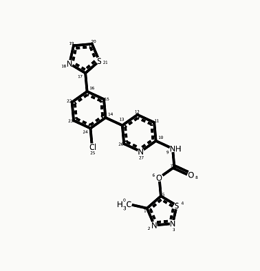 Cc1nnsc1OC(=O)Nc1ccc(-c2cc(-c3nccs3)ccc2Cl)cn1